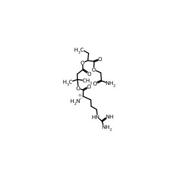 CCC(OC(=O)CC(C)(C)OC(=O)[C@@H](N)CCCNC(=N)N)C(=O)OCC(N)=O